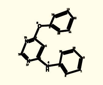 c1ccc(Nc2cc(Oc3ccccc3)ncn2)cc1